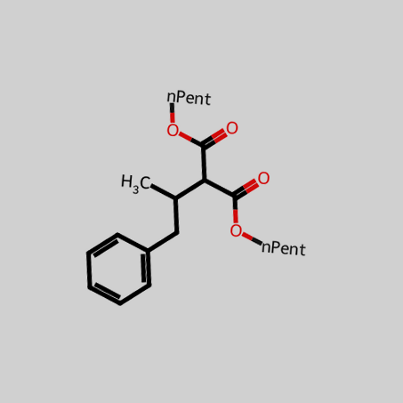 CCCCCOC(=O)C(C(=O)OCCCCC)C(C)Cc1ccccc1